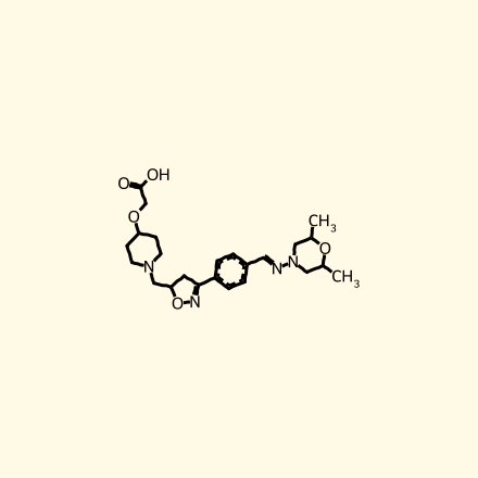 CC1CN(N=Cc2ccc(C3=NOC(CN4CCC(OCC(=O)O)CC4)C3)cc2)CC(C)O1